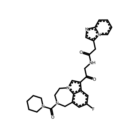 O=C(Cc1cnc2ccccn12)NCC(=O)c1cn2c3c(cc(F)cc13)CN(C(=O)N1CCCCC1)CC2